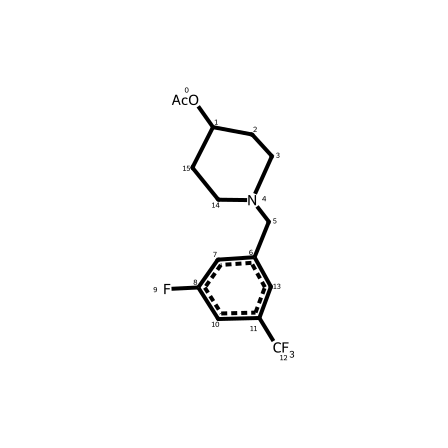 CC(=O)OC1CCN(Cc2cc(F)cc(C(F)(F)F)c2)CC1